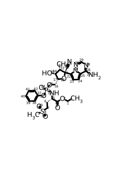 CCOC(=O)[C@H](CCS(C)(=O)=O)NP(=O)(OC[C@H]1O[C@@](C#N)(c2ccc3c(N)ncnn23)[C@@H](C)[C@@H]1O)Oc1ccccc1